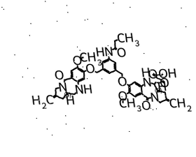 C=C1C[C@H]2CNc3cc(OCc4cc(COc5cc6c(cc5OC)C(=O)N5CC(=C)C[C@H]5C(S(=O)(=O)O)N6)cc(NC(=O)CC)c4)c(OC)cc3C(=O)N2C1